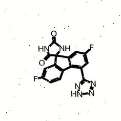 O=C1NC(=O)C2(N1)c1cc(F)ccc1-c1c(-c3nn[nH]n3)cc(F)cc12